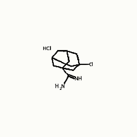 Cl.N=C(N)C12CC3CC(CC(Cl)(C3)C1)C2